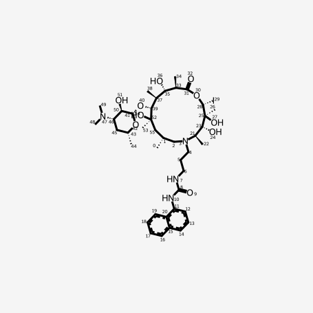 C[C@H]1CN(CCCNC(=O)Nc2cccc3ccccc23)[C@H](C)[C@@H](O)[C@](C)(O)[C@@H](I)OC(=O)[C@H](C)[C@@H](O)[C@H](C)[C@@H](O[C@@H]2O[C@H](C)C[C@H](N(C)C)[C@H]2O)[C@](C)(O)C1